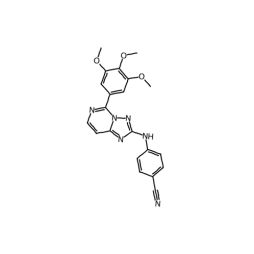 COc1cc(-c2nccc3nc(Nc4ccc(C#N)cc4)nn23)cc(OC)c1OC